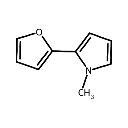 Cn1cccc1-c1ccco1